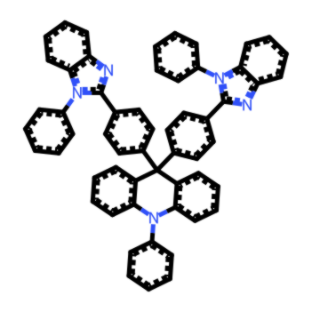 c1ccc(N2c3ccccc3C(c3ccc(-c4nc5ccccc5n4-c4ccccc4)cc3)(c3ccc(-c4nc5ccccc5n4-c4ccccc4)cc3)c3ccccc32)cc1